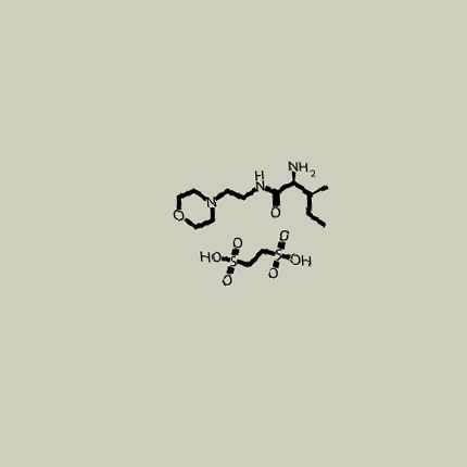 CC[C@H](C)[C@H](N)C(=O)NCCN1CCOCC1.O=S(=O)(O)CCS(=O)(=O)O